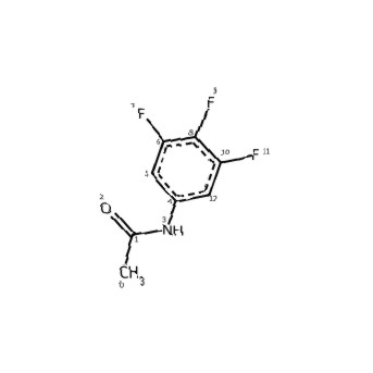 CC(=O)Nc1cc(F)c(F)c(F)c1